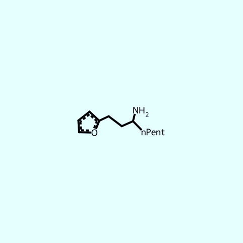 CCCCCC(N)CCc1ccco1